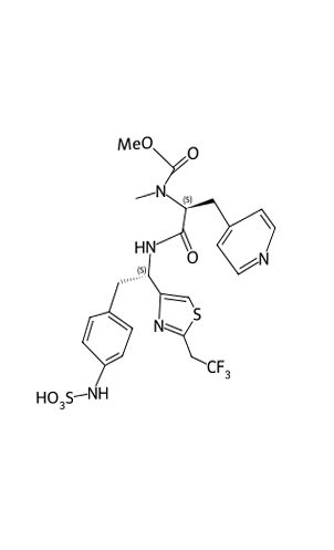 COC(=O)N(C)[C@@H](Cc1ccncc1)C(=O)N[C@@H](Cc1ccc(NS(=O)(=O)O)cc1)c1csc(CC(F)(F)F)n1